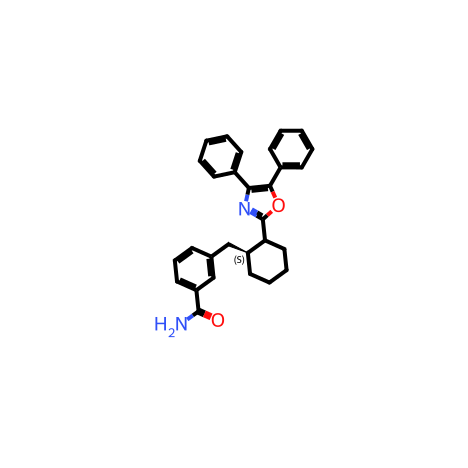 NC(=O)c1cccc(C[C@@H]2CCCCC2c2nc(-c3ccccc3)c(-c3ccccc3)o2)c1